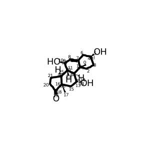 C[C@]12CC[C@H](O)CC1=C[C@H](O)[C@@H]1[C@@H]2[C@H](O)C[C@]2(C)C(=O)CC[C@@H]12